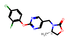 C[C@H]1COC(=O)N1Cc1cnc(Oc2ccc(Cl)cc2F)nc1